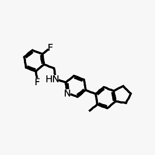 Cc1cc2c(cc1-c1ccc(NCc3c(F)cccc3F)nc1)CCC2